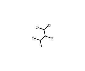 CC(Cl)[C](Cl)C(Cl)Cl